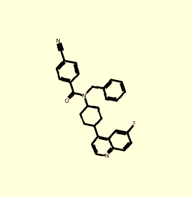 N#Cc1ccc(C(=O)N(Cc2ccccc2)C2CCC(c3ccnc4ccc(F)cc34)CC2)cc1